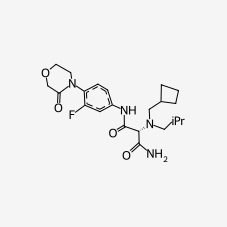 CC(C)CN(CC1CCC1)[C@H](C(N)=O)C(=O)Nc1ccc(N2CCOCC2=O)c(F)c1